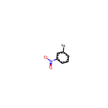 [2H]c1[c]ccc([N+](=O)[O-])c1